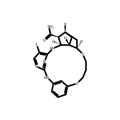 NC(=O)[C@H]1[C@H]2C[C@H]3[C@H]1Nc1nc(ncc1F)Nc1cccc(c1)OCCCS[C@@H]3C2